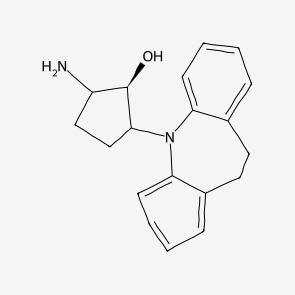 NC1CCC(N2c3ccccc3CCc3ccccc32)[C@@H]1O